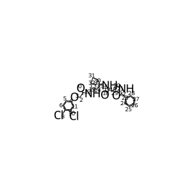 O=C(COc1ccc(Cl)c(Cl)c1)NC1CC(NC(=O)C2CNC(c3ccccc3)O2)C2CC1C2